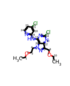 CCOCCn1nc(COCC)c2nc(Cl)nc(Nc3cc(Cl)ccn3)c21